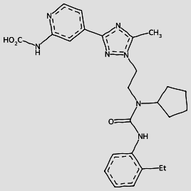 CCc1ccccc1NC(=O)N(CCn1nc(-c2ccnc(NC(=O)O)c2)nc1C)C1CCCC1